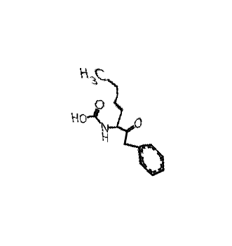 CCCCC(NC(=O)O)C(=O)Cc1ccccc1